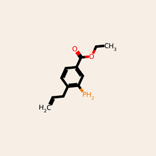 C=CCc1ccc(C(=O)OCC)cc1P